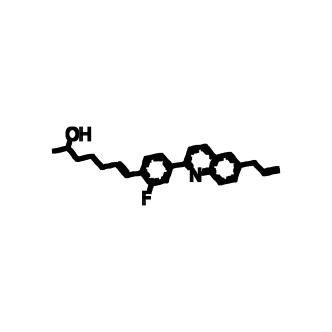 C=CCc1ccc2nc(-c3ccc(/C=C/CCCC(C)O)c(F)c3)ccc2c1